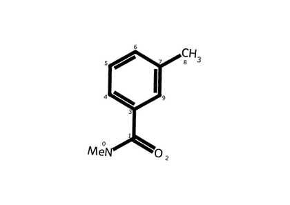 CNC(=O)c1cccc(C)c1